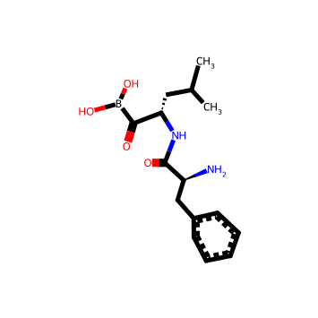 CC(C)C[C@H](NC(=O)[C@@H](N)Cc1ccccc1)C(=O)B(O)O